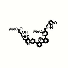 COC(=O)C[C@H](O)CNCc1cnc2cc(-c3cccc(-c4cccc(-c5ccc(CNC[C@H]6CCC(=O)N6)c(OC)n5)c4Cl)c3Cl)ccn2c1=O